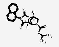 CC(C)OC(=O)N1C[C@H]2CC1[C@H]1C(=O)N(c3cccc4ccccc34)C(=O)N21